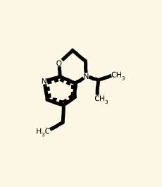 CCc1cnc2c(c1)N(C(C)C)CCO2